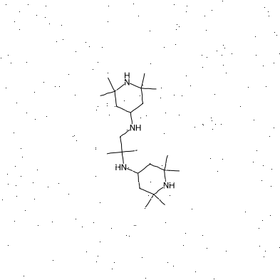 CC(C)(CNC1CC(C)(C)NC(C)(C)C1)NC1CC(C)(C)NC(C)(C)C1